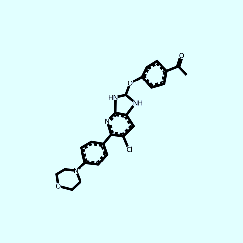 CC(=O)c1ccc(OC2Nc3cc(Cl)c(-c4ccc(N5CCOCC5)cc4)nc3N2)cc1